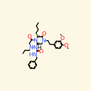 CCCC[C@H]1C(=O)N(CCc2ccc(OC)c(OC)c2)C[C@H]2N1C(=O)CN(CCC)N2C(=O)NCc1ccccc1